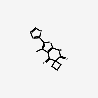 Cc1c(-c2ncco2)sc2c1C(=O)C1(CCC1)C(=O)N2